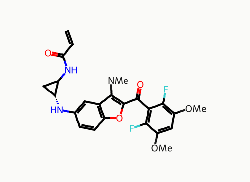 C=CC(=O)NC1C[C@H]1Nc1ccc2oc(C(=O)c3c(F)c(OC)cc(OC)c3F)c(NC)c2c1